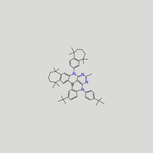 Cc1nc2c3c(n1)N(c1ccc4c(c1)C(C)(C)CCCC4(C)C)c1cc4c(cc1B3c1cc(C(C)(C)C)ccc1N2c1ccc(C(C)(C)C)cc1)C(C)(C)CCCC4(C)C